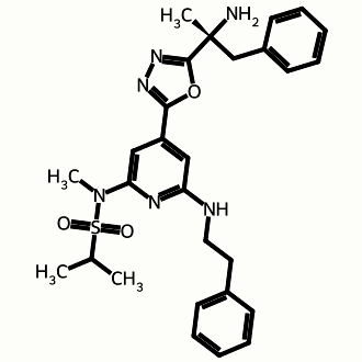 CC(C)S(=O)(=O)N(C)c1cc(-c2nnc([C@](C)(N)Cc3ccccc3)o2)cc(NCCc2ccccc2)n1